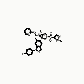 Cc1cc2c(cnn2-c2ccc(F)cc2)cc1[C@@]12CN(S(=O)(=O)c3cnn(C)n3)C[C@@H]1[C@H]2COc1ccccn1